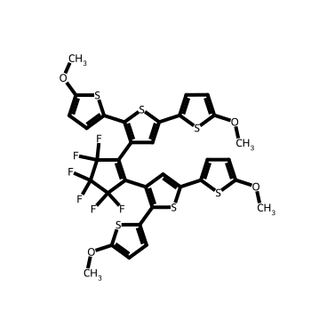 COc1ccc(-c2cc(C3=C(c4cc(-c5ccc(OC)s5)sc4-c4ccc(OC)s4)C(F)(F)C(F)(F)C3(F)F)c(-c3ccc(OC)s3)s2)s1